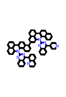 c1ccc2c3c(ccc2c1)-c1cccc2cc(-c4cccc5c6c(ccc45)-c4cccc5cccc(c45)N6c4nc(-c5cccc6cccnc56)c5ccccc5n4)cc(c12)N3c1nc(-c2ccncc2)c2ccccc2n1